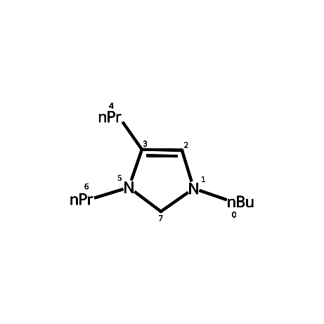 CCCCN1C=C(CCC)N(CCC)C1